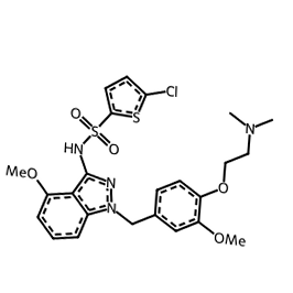 COc1cc(Cn2nc(NS(=O)(=O)c3ccc(Cl)s3)c3c(OC)cccc32)ccc1OCCN(C)C